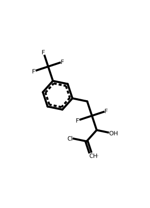 [CH]=C(Cl)C(O)C(F)(F)Cc1cccc(C(F)(F)F)c1